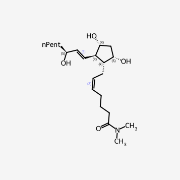 CCCCC[C@H](O)/C=C/[C@@H]1[C@@H](C/C=C\CCCC(=O)N(C)C)[C@@H](O)C[C@H]1O